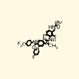 Cn1c(Nc2c(F)ccc(CNC(=O)C(C)(C)C)c2F)nc2cc(C(=O)NC3CCC(C(F)(F)F)CC3)c(N3CCC(F)CC3)cc21